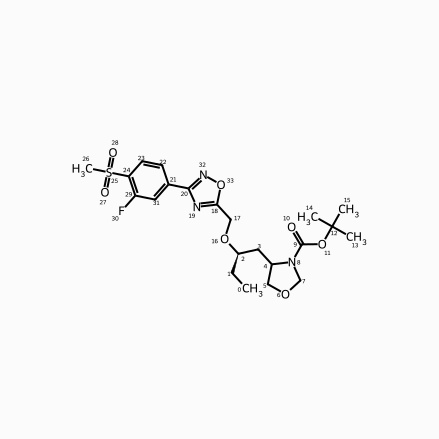 CC[C@H](CC1COCN1C(=O)OC(C)(C)C)OCc1nc(-c2ccc(S(C)(=O)=O)c(F)c2)no1